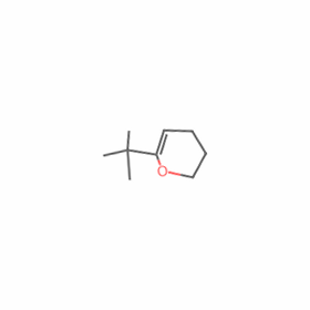 CC(C)(C)C1=CCCCO1